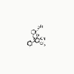 CCOCc1cccc(Cn2c(-c3cccc(C)c3)cc(C(F)(F)F)c(C#N)c2=O)c1